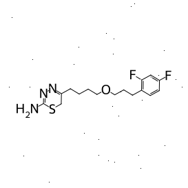 NC1=NN=C(CCCCOCCCc2ccc(F)cc2F)CS1